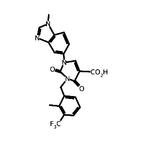 Cc1c(Cn2c(=O)c(C(=O)O)cn(-c3ccc4c(c3)ncn4C)c2=O)cccc1C(F)(F)F